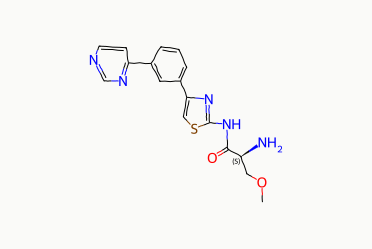 COC[C@H](N)C(=O)Nc1nc(-c2cccc(-c3ccncn3)c2)cs1